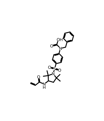 C=CC(=O)NC1CC(C)(C)N(S(=O)(=O)c2ccc(N(Cc3ccccc3)C(=O)O)cc2)C1(C)C